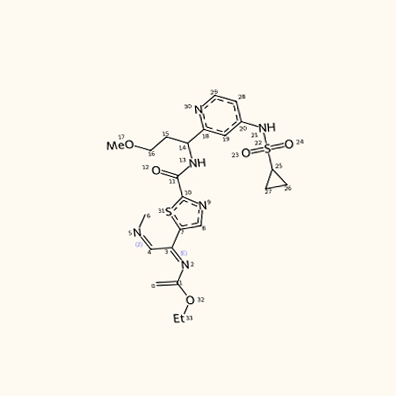 C=C(/N=C(\C=N/C)c1cnc(C(=O)NC(CCOC)c2cc(NS(=O)(=O)C3CC3)ccn2)s1)OCC